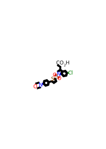 O=C(O)CCc1cn(S(=O)(=O)c2ccc(-c3ccc(N4CCOCC4)cc3)s2)c2ccc(Cl)cc12